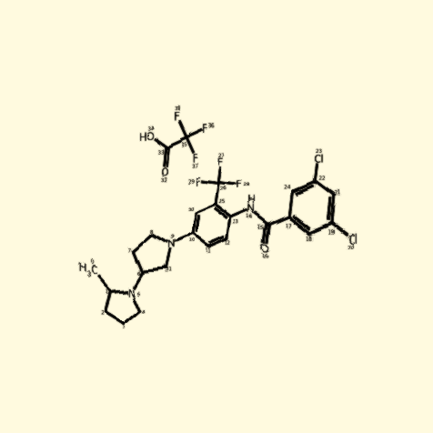 CC1CCCN1C1CCN(c2ccc(NC(=O)c3cc(Cl)cc(Cl)c3)c(C(F)(F)F)c2)C1.O=C(O)C(F)(F)F